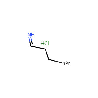 CCCCCC=N.Cl